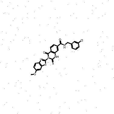 COc1ccc2nc(-n3c(=S)[nH]c4cc(C(=O)NCc5cccc(Cl)c5)ccc4c3=O)sc2c1